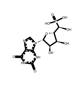 O=c1[nH]c(=O)c2ncn([C@@H]3O[C@H]([C@H](O)P(=O)(O)O)[C@@H](O)[C@H]3O)c2[nH]1